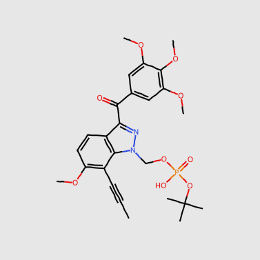 CC#Cc1c(OC)ccc2c(C(=O)c3cc(OC)c(OC)c(OC)c3)nn(COP(=O)(O)OC(C)(C)C)c12